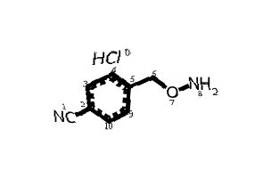 Cl.N#Cc1ccc(CON)cc1